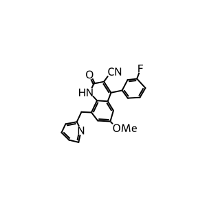 COc1cc(Cc2ccccn2)c2[nH]c(=O)c(C#N)c(-c3cccc(F)c3)c2c1